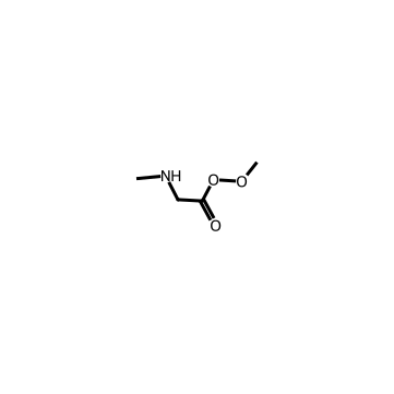 CNCC(=O)OOC